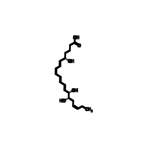 CC/C=C\C[C@H](O)[C@@H](O)/C=C/C=C/C=C\C=C\[C@@H](O)CCCC(=O)O